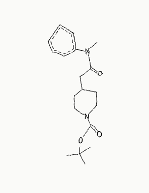 CN(C(=O)CC1CCN(C(=O)OC(C)(C)C)CC1)c1ccccc1